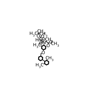 COC(=O)C(C)N(c1ccc(OCc2cccc(-c3c(C)cccc3C)c2)cc1C)S(=O)(=O)NC(=O)OC(C)(C)C